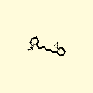 CON1C=CC=CC1=CC=CC=Cc1cccc[n+]1OC